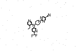 CCc1ccncc1N(c1ccc(C(F)F)nc1)C1CCN(c2ncc(C#N)cn2)CC1